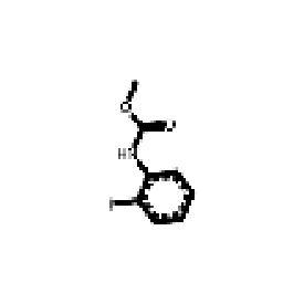 COC(=O)Nc1ccccc1I